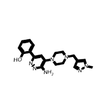 Cn1cc(CN2CCN(c3cc(-c4ccccc4O)nnc3N)CC2)cn1